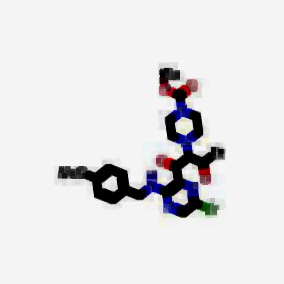 CCC(=O)C(C(=O)c1nc(Br)cnc1NCc1ccc(OC)cc1)N1CCN(C(=O)OC(C)(C)C)CC1